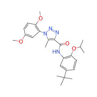 COc1ccc(OC)c(-n2nnc(C(=O)Nc3cc(C(C)(C)C)ccc3OC(C)C)c2C)c1